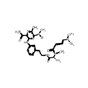 CCN(C)c1nc(Nc2cccc(CCNC(=O)[C@H](C)N(C)C(=O)/C=C/CN(C)C)c2)c(C(N)=O)nc1C